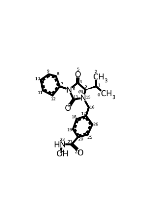 CC(C)[C@@H]1C(=O)N(c2ccccc2)C(=O)N1Cc1ccc(C(=O)NO)cc1